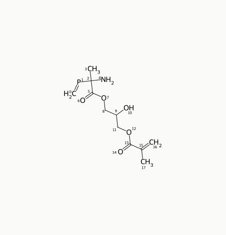 C=PC(C)(N)C(=O)OCC(O)COC(=O)C(=C)C